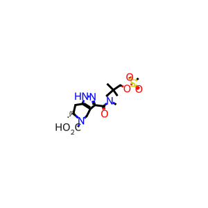 C[C@@H]1Cc2[nH]nc(C(=O)N(C)CC(C)(C)COS(C)(=O)=O)c2CN1C(=O)O